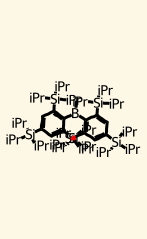 CB(c1c([Si](C(C)C)(C(C)C)C(C)C)cc([Si](C(C)C)(C(C)C)C(C)C)cc1[Si](C(C)C)(C(C)C)C(C)C)c1c([Si](C(C)C)(C(C)C)C(C)C)cc([Si](C(C)C)(C(C)C)C(C)C)cc1[Si](C(C)C)(C(C)C)C(C)C